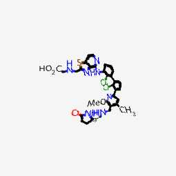 COc1nc(-c2cccc(-c3cccc(Nc4nccc5sc(CNCC(=O)O)nc45)c3Cl)c2Cl)cc(C)c1CNC[C@@H]1CCC(=O)N1